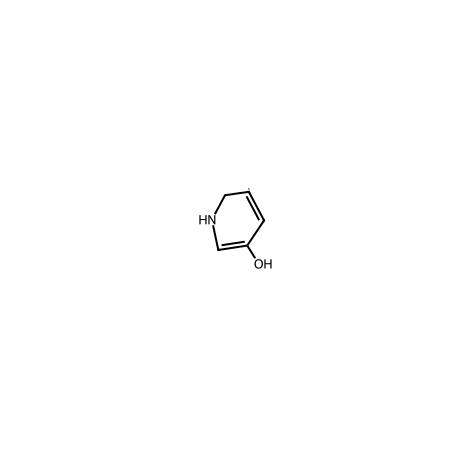 OC1=CNC[C]=C1